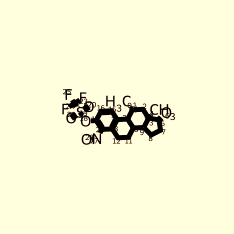 C[C@H]1C[C@]2(C)C(=O)CCC2C2CCc3c(ccc(OS(=O)(=O)C(F)(F)F)c3N=O)C21